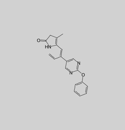 C=C/C(=C\C1=C(C)CC(=O)N1)c1cnc(Oc2ccccc2)nc1